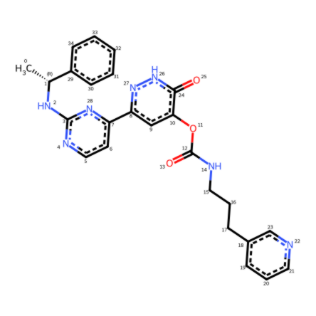 C[C@@H](Nc1nccc(-c2cc(OC(=O)NCCCc3cccnc3)c(=O)[nH]n2)n1)c1ccccc1